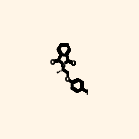 C[C@@H](COc1ccc(I)cc1)N1C(=O)c2ccccc2C1=O